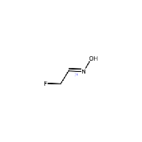 O/N=C/CF